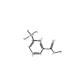 COC(=O)c1cnc[c]([Sn]([CH3])([CH3])[CH3])n1